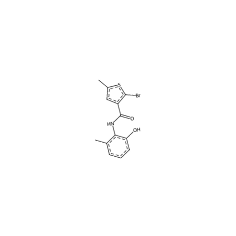 Cc1cc(C(=O)Nc2c(C)cccc2O)c(Br)s1